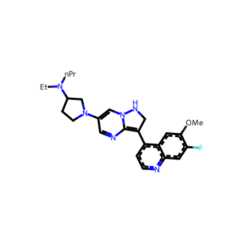 CCCN(CC)C1CCN(C2=CN3NCC(c4ccnc5cc(F)c(OC)cc45)=C3N=C2)C1